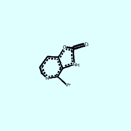 CC(C)c1nccc2oc(=O)[nH]c12